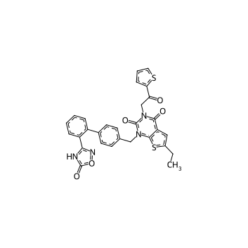 CCc1cc2c(=O)n(CC(=O)c3cccs3)c(=O)n(Cc3ccc(-c4ccccc4-c4noc(=O)[nH]4)cc3)c2s1